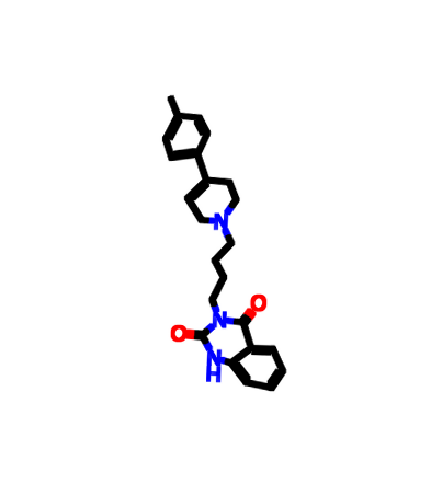 Cc1ccc(C2=CCN(CCCCn3c(=O)[nH]c4ccccc4c3=O)CC2)cc1